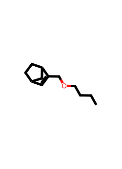 CCCCOCC1=CC2CCC1C2